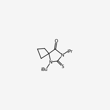 CCC(C)N1C(=S)N(C(C)C)C(=O)C12CCC2